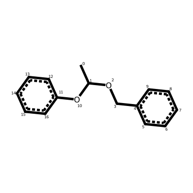 CC(OCc1ccccc1)Oc1ccccc1